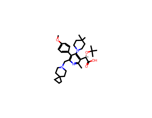 COc1ccc(-c2c(CN3CCC4(CCC4)CC3)nc(C)c([C@H](OC(C)(C)C)C(=O)O)c2N2CCC(C)(C)CC2)cc1